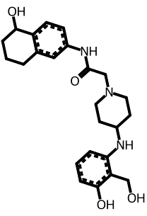 O=C(CN1CCC(Nc2cccc(O)c2CO)CC1)Nc1ccc2c(c1)CCCC2O